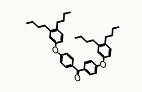 CCCCc1ccc(Oc2ccc(C(=O)c3ccc(Oc4ccc(CCCC)c(CCCC)c4)cc3)cc2)cc1CCCC